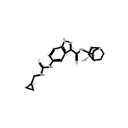 O=C(N[C@H]1CN2CCC1CC2)c1n[nH]c2ccc(NC(=S)NCC3CC3)cc12